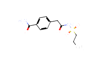 CCCS(=O)(=O)NC(=O)Cc1ccc(C(N)=O)cc1